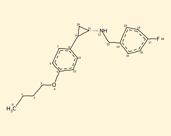 CCCCOc1ccc(C2C[C@@H]2NCc2ccc(F)cc2)cc1